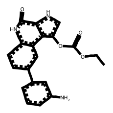 CCOC(=O)Oc1c[nH]c2c(=O)[nH]c3ccc(-c4cccc(N)c4)cc3c12